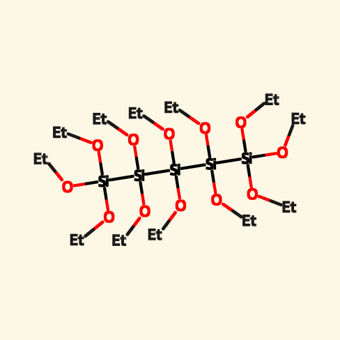 CCO[Si](OCC)(OCC)[Si](OCC)(OCC)[Si](OCC)(OCC)[Si](OCC)(OCC)[Si](OCC)(OCC)OCC